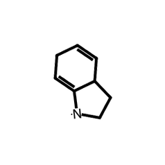 C1=CC2CC[N]C2=CC1